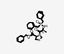 C[C@H](NP(=O)(Cc1ccccc1)Cc1ccccc1)C(=O)N1CSCC1C(=O)OCc1ccccc1